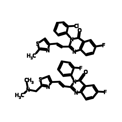 CN(C)Cc1nc(C=Cc2nc3ccc(F)cc3c(=O)n2-c2ccccc2F)cs1.Cc1nc(C=Cc2nc3ccc(F)cc3c(=O)n2-c2ccccc2Cl)cs1